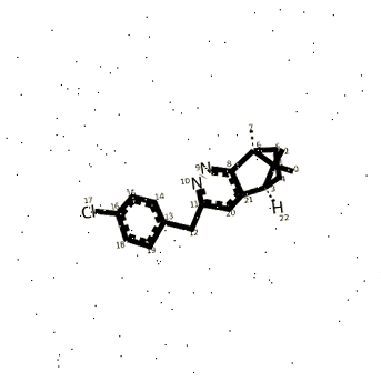 CC1(C)[C@H]2CC[C@]1(C)c1nnc(Cc3ccc(Cl)cc3)cc12